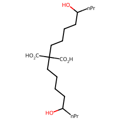 CCCC(O)CCCCC(CCCCC(O)CCC)(C(=O)O)C(=O)O